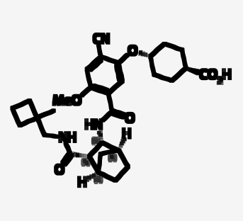 COc1cc(C#N)c(O[C@H]2CC[C@H](C(=O)O)CC2)cc1C(=O)N[C@@H]1[C@H]2CC[C@H](C2)[C@@H]1C(=O)NCC1(C)CCC1